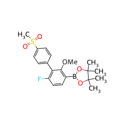 COc1c(B2OC(C)(C)C(C)(C)O2)ccc(F)c1-c1ccc(S(C)(=O)=O)cc1